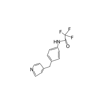 O=C(Nc1ccc(Cc2ccncc2)cc1)C(F)(F)F